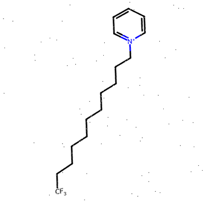 FC(F)(F)CCCCCCCCCC[n+]1ccccc1